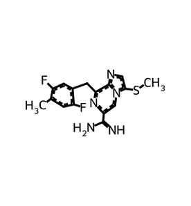 CSc1cnc2c(Cc3cc(F)c(C)cc3F)nc(C(=N)N)cn12